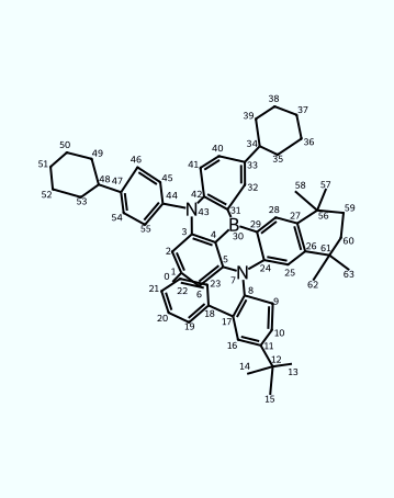 Cc1cc2c3c(c1)N(c1ccc(C(C)(C)C)cc1-c1ccccc1)c1cc4c(cc1B3c1cc(C3CCCCC3)ccc1N2c1ccc(C2CCCCC2)cc1)C(C)(C)CCC4(C)C